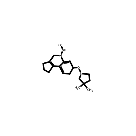 CC(C)NN1CC2=C(CCC2)C2=CCC(ON3CCC(C)(C)C3)C=C21